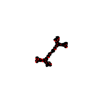 c1ccc2c(c1)oc1c(-c3ccc(N(c4ccc(-c5ccc(-c6ccc(CCc7ccc(-c8ccc(-c9ccc(N(c%10ccc(-c%11ccc(-n%12c%13ccccc%13c%13ccccc%13%12)cc%11)cc%10)c%10ccc(-c%11cccc%12c%11oc%11ccccc%11%12)cc%10)cc9)cc8)cc7)cc6)cc5)cc4)c4ccc(-c5ccc(-n6c7ccccc7c7ccccc76)cc5)cc4)cc3)cccc12